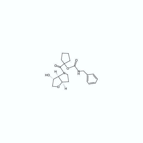 O=C(NCc1ccccc1)OC1(C(=O)N2CC[C@H]3OC[C@H](O)[C@H]32)CCCC1